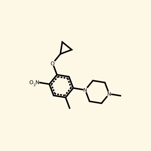 Cc1cc([N+](=O)[O-])c(OC2CC2)cc1N1CCN(C)CC1